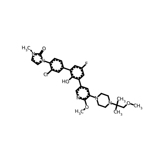 COCC(C)(C)N1CCN(c2cc(-c3cc(F)cc(-c4ccc(-n5ccn(C)c5=O)c(Cl)c4)c3O)cnc2OC)CC1